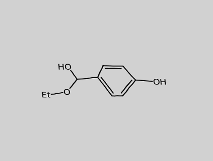 CCOC(O)c1ccc(O)cc1